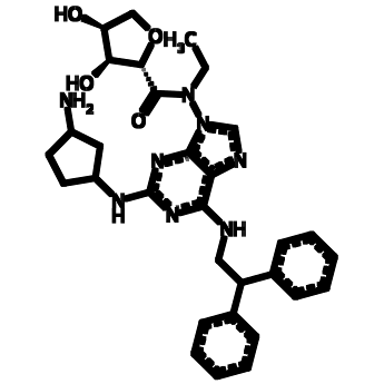 CCN(C(=O)[C@H]1OC[C@H](O)[C@@H]1O)n1cnc2c(NCC(c3ccccc3)c3ccccc3)nc(NC3CCC(N)C3)nc21